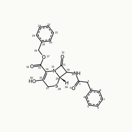 O=C(Cc1ccccc1)NC1C(=O)N2C(C(=O)OCc3ccccc3)=C(O)CS[C@@H]12